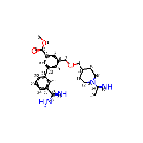 COC(=O)c1cc(COCC2CCN(C(C)=N)CC2)cc(-c2cccc(C(=N)N)c2)c1